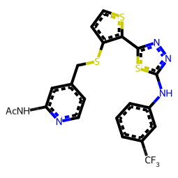 CC(=O)Nc1cc(CSc2ccsc2-c2nnc(Nc3cccc(C(F)(F)F)c3)s2)ccn1